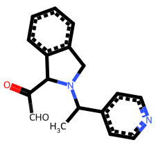 CC(c1ccncc1)N1Cc2ccccc2C1C(=O)C=O